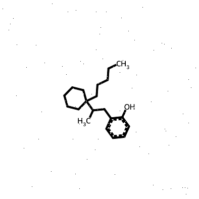 CCCCCC1(C(C)Cc2ccccc2O)CCCCC1